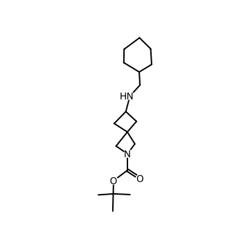 CC(C)(C)OC(=O)N1CC2(CC(NCC3CCCCC3)C2)C1